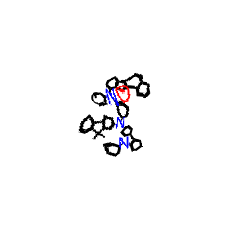 CC1(C)c2ccccc2-c2ccc(N(c3cccc(N(c4ccccc4)c4cccc5c4oc4c6ccccc6ccc54)c3)c3ccc4c5ccccc5n(-c5ccccc5)c4c3)cc21